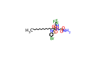 CCCCCCCCCCCCCCC(C(=O)NCCS(N)(=O)=O)(c1nc2ccc(Br)cc2s1)S(=O)(=O)CCC(F)(F)F